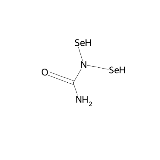 NC(=O)N([SeH])[SeH]